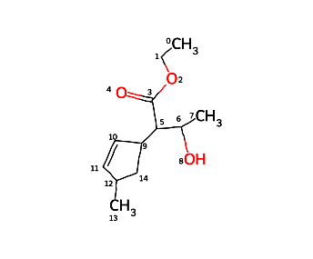 CCOC(=O)C(C(C)O)C1C=CC(C)C1